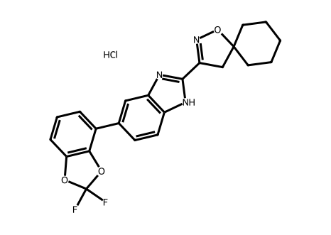 Cl.FC1(F)Oc2cccc(-c3ccc4[nH]c(C5=NOC6(CCCCC6)C5)nc4c3)c2O1